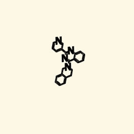 c1cncc(-c2nc(N3CCc4ccccc4C3)c3ccccc3n2)c1